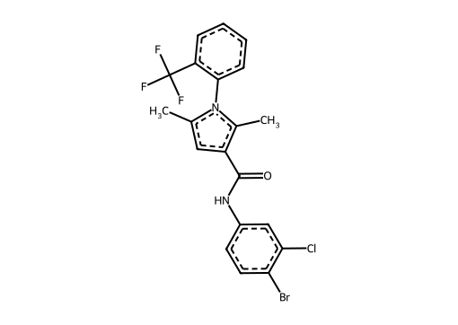 Cc1cc(C(=O)Nc2ccc(Br)c(Cl)c2)c(C)n1-c1ccccc1C(F)(F)F